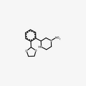 O=[N+]([O-])N1CCNC(c2ccccc2C2OCCO2)C1